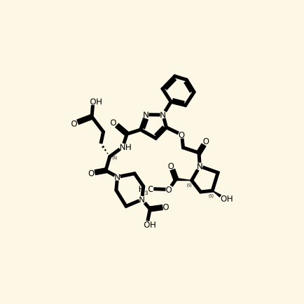 COC(=O)[C@@H]1C[C@H](O)CN1C(=O)COc1cc(C(=O)N[C@@H](CCC(=O)O)C(=O)N2CCN(C(=O)O)CC2)nn1-c1ccccc1